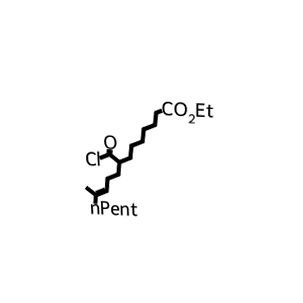 CCCCC/C(C)=C/CCC(CCCCCCC(=O)OCC)C(=O)Cl